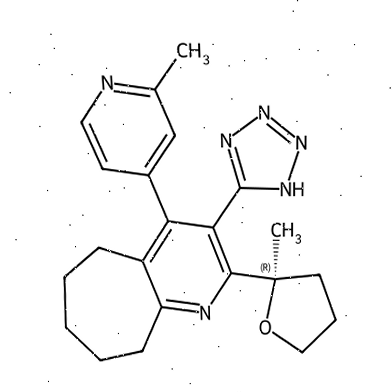 Cc1cc(-c2c3c(nc([C@@]4(C)CCCO4)c2-c2nnn[nH]2)CCCCC3)ccn1